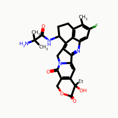 CCC1(O)C(=O)OCc2c1cc1n(c2=O)Cc2c-1nc1cc(F)c(C)c3c1c2C(NC(=O)C(C)(C)N)CC3